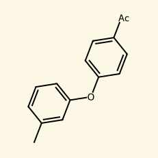 CC(=O)c1ccc(Oc2cccc(C)c2)cc1